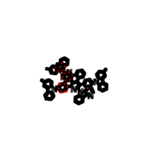 Cc1ccc2c(c1)c1ccccc1n2-c1ccc(-c2nc(-n3c4ccccc4c4ncccc43)c(-c3ccc(-n4c5ccccc5c5cc(C)ccc54)cc3)c(-c3ccccc3-c3nc(-c4ccccc4)nc(-c4ccccc4)n3)c2-c2ccc(-n3c4ccccc4c4cc(C)ccc43)cc2)cc1